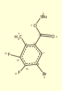 Cc1c(C(=O)OC(C)(C)C)cc(Br)c(F)c1F